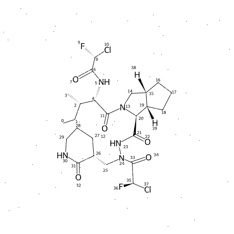 CC[C@H](C)[C@H](NC(=O)[C@H](F)Cl)C(=O)N1C[C@@H]2CCC[C@@H]2[C@H]1C(=O)NN(C[C@H]1CCCNC1=O)C(=O)[C@H](F)Cl